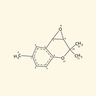 Cc1ccc2c(c1)C1OC1C(C)(C)O2